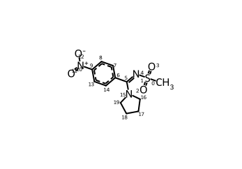 CS(=O)(=O)N=C(c1ccc([N+](=O)[O-])cc1)N1CCCC1